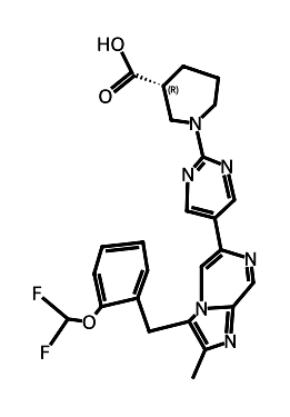 Cc1nc2cnc(-c3cnc(N4CCC[C@@H](C(=O)O)C4)nc3)cn2c1Cc1ccccc1OC(F)F